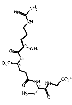 N=C(N)NCCC[C@H](N)C(=O)N[C@@H](CCC(=O)N[C@@H](CS)C(=O)NCC(=O)O)C(=O)O